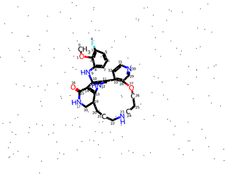 COc1c(F)cccc1Nc1c2[nH]c3c1C(=O)NCC3CCCNCCCOc1cnccc1-2